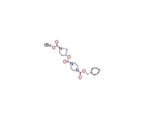 CC(C)(C)OC(=O)N1CCC(OC(=O)N2CCN(C(=O)OCc3ccccc3)CC2)CC1